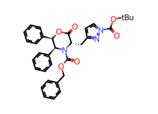 CC(C)(C)OC(=O)n1ccc(C[C@H]2C(=O)O[C@H](c3ccccc3)[C@H](c3ccccc3)N2C(=O)OCc2ccccc2)n1